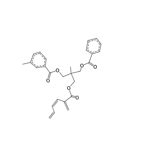 C=C/C=C\C(=C)C(=O)OCC(C)(COC(=O)c1ccccc1)COC(=O)c1cccc(C)c1